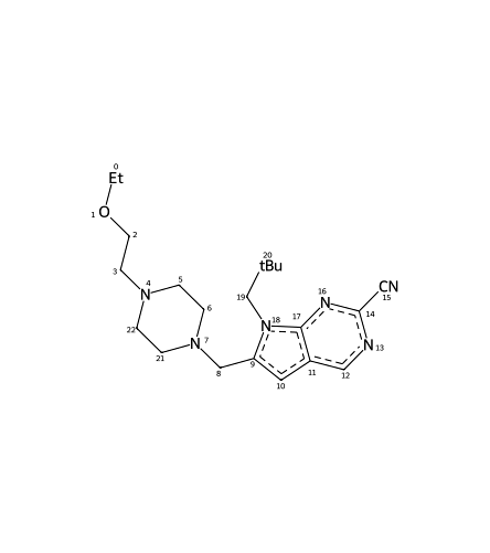 CCOCCN1CCN(Cc2cc3cnc(C#N)nc3n2CC(C)(C)C)CC1